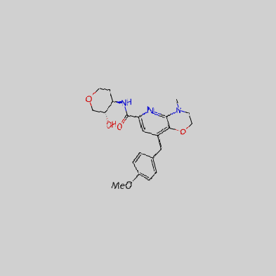 COc1ccc(Cc2cc(C(=O)N[C@@H]3CCOC[C@H]3O)nc3c2OCCN3C)cc1